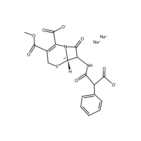 COC(=O)C1=C(C(=O)[O-])N2C(=O)C(NC(=O)C(C(=O)[O-])c3ccccc3)[C@@H]2SC1.[Na+].[Na+]